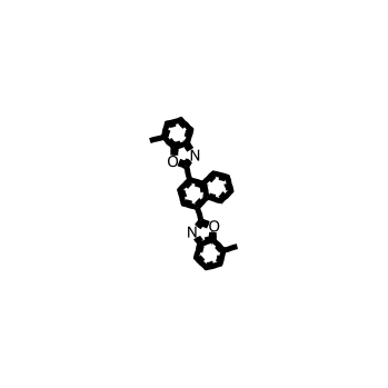 Cc1cccc2nc(-c3ccc(-c4nc5cccc(C)c5o4)c4ccccc34)oc12